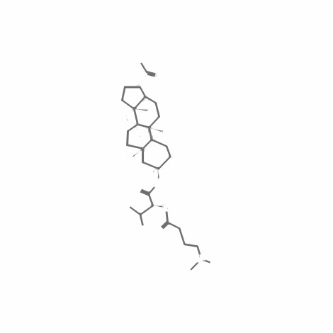 CC(=O)[C@H]1CC[C@H]2[C@@H]3CC[C@H]4C[C@H](OC(=O)[C@@H](NC(=O)CCCN(C)C)C(C)C)CC[C@]4(C)[C@H]3CC[C@]12C